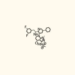 Cn1nc(NS(C)(=O)=O)c2c(Cl)ccc(-c3cc(-c4ccccc4)cnc3[C@@H](N)Cc3cc(F)cc(F)c3)c21